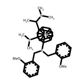 COc1ccccc1CP(Cc1ccccc1OC)[C]12[CH]3[CH]4[C]5(C(C)N(C)C)[C]1(P(C)C)[Fe]43521678[CH]2[CH]1[CH]6[CH]7[CH]28